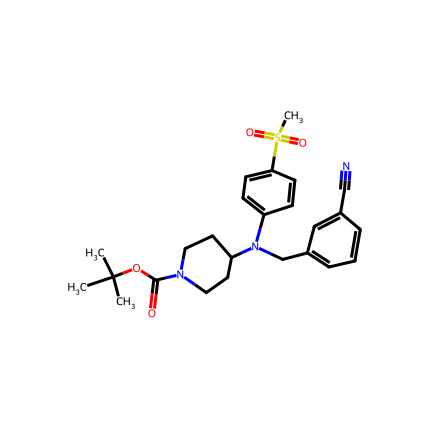 CC(C)(C)OC(=O)N1CCC(N(Cc2cccc(C#N)c2)c2ccc(S(C)(=O)=O)cc2)CC1